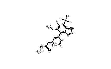 CCc1c(F)c(C(F)(F)F)c2[nH]ncc2c1C1=C/C(=C/C(=N)NC)NC=C1